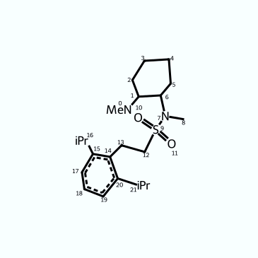 CNC1CCCCC1N(C)S(=O)(=O)CCc1c(C(C)C)cccc1C(C)C